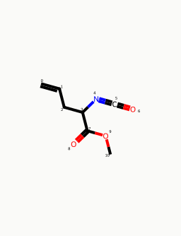 C=CCC(N=C=O)C(=O)OC